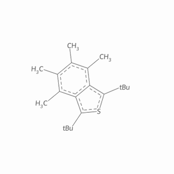 Cc1c(C)c(C)c2c(C(C)(C)C)sc(C(C)(C)C)c2c1C